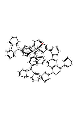 c1ccc(N2CCN(c3ccccc3)c3cc4c(cc32)-c2ccccc2-c2cccc(-n3c5ccccc5c5cc(-n6c7ccccc7c7ccccc76)ccc53)c2-c2c-4cccc2-n2c3ccccc3c3cc(-n4c5ccccc5c5ccccc54)ccc32)cc1